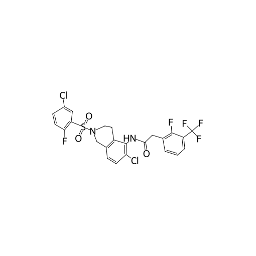 O=C(Cc1cccc(C(F)(F)F)c1F)Nc1c(Cl)ccc2c1CCN(S(=O)(=O)c1cc(Cl)ccc1F)C2